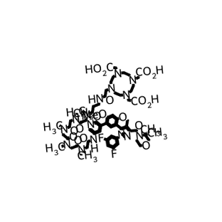 COc1cc2c(cc1-c1cncc(NC(=O)CN(C)C(=O)CN(C)C(=O)CN(C)C(=O)CN(C)C(=O)CN(C)C(=O)CCNC(=O)CN3CCN(CC(=O)O)CCN(CC(=O)O)CCN(CC(=O)O)CC3)c1)-c1c(c(C(=O)N3CCOCC3(C)C)nn1-c1cc(F)cc(F)c1)CO2